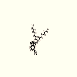 CCCCCCCCN(CCCCCCCC)Cn1nnc2ccc(C#N)cc21